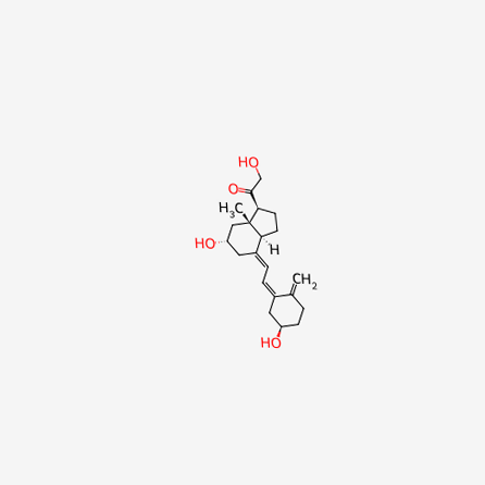 C=C1CC[C@@H](O)C/C1=C/C=C1\C[C@H](O)C[C@]2(C)[C@@H](C(=O)CO)CC[C@@H]12